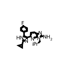 CC(C)Cn1c(N)nc2ccc(-c3nc(C4CC4)[nH]c3-c3ccc(F)cc3)nc21